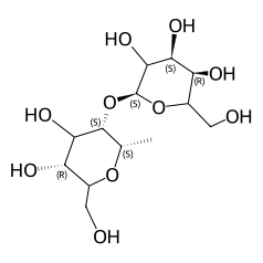 C[C@@H]1OC(CO)[C@H](O)C(O)[C@@H]1O[C@@H]1OC(CO)[C@H](O)[C@H](O)C1O